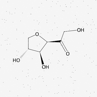 O=C(CO)[C@@H]1OC[C@@H](O)[C@@H]1O